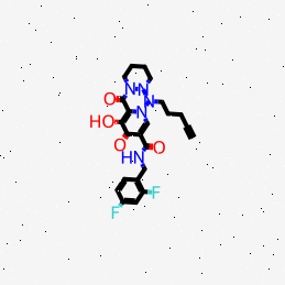 C#CCCCN1N2CCCCN2C(=O)c2c(O)c(=O)c(C(=O)NCc3ccc(F)cc3F)cn21